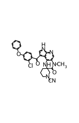 CN1C(=O)C2(CCCN(C#N)C2)Nc2c1cnc1[nH]cc(C(=O)c3ccc(Oc4ccccc4)cc3Cl)c21